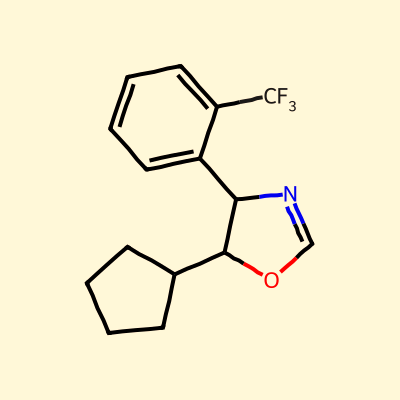 FC(F)(F)c1ccccc1C1N=COC1C1CCCC1